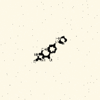 C1=NCCN1.CSc1ccc(C(=O)c2[nH]c(=O)[nH]c2C)cc1